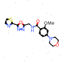 COc1cc(N2CCOCC2)ccc1C(=O)NCc1nnc(-c2nccs2)o1